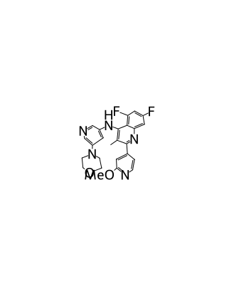 COc1cc(-c2nc3cc(F)cc(F)c3c(Nc3cncc(N4CCOCC4)c3)c2C)ccn1